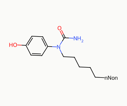 CCCCCCCCCCCCCCN(C(N)=O)c1ccc(O)cc1